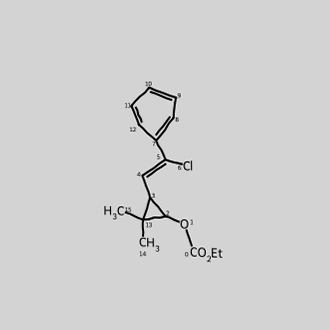 CCOC(=O)OC1C(C=C(Cl)c2ccccc2)C1(C)C